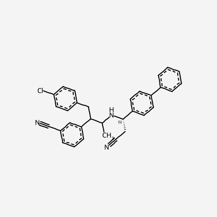 CC(N[C@@H](CC#N)c1ccc(-c2ccccc2)cc1)C(Cc1ccc(Cl)cc1)c1cccc(C#N)c1